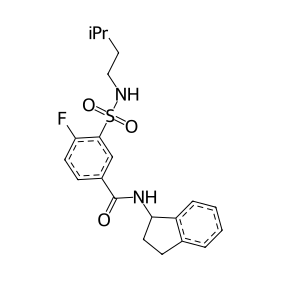 CC(C)CCNS(=O)(=O)c1cc(C(=O)NC2CCc3ccccc32)ccc1F